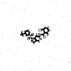 CC(C)(C)c1cccc(S(=O)(=O)n2ncc3cnc(NC(=O)c4c(F)cccc4Cl)cc32)c1